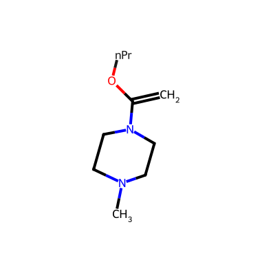 C=C(OCCC)N1CCN(C)CC1